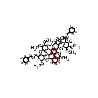 COC1C(OC)[C@H](O[C@H]2O[C@@H](COC(C)=O)[C@@H](O[C@@H]3OC(C(=O)OCc4ccccc4)[C@@H](O)[C@H](OC)C3OC)C(OC(C)=O)C2C)[C@H](C(=O)OCc2ccccc2)O[C@H]1O[C@@H]1C(COCc2ccccc2)O[C@H](OC)C(OCc2ccccc2)[C@H]1OCc1ccccc1